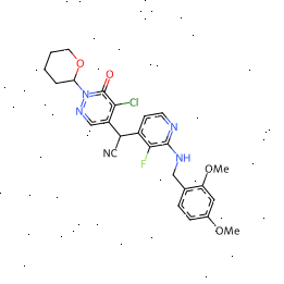 COc1ccc(CNc2nccc(C(C#N)c3cnn(C4CCCCO4)c(=O)c3Cl)c2F)c(OC)c1